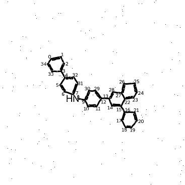 c1ccc(-c2ccc(Nc3ccc(-c4cc(-c5ccccc5)c5ccccc5c4)cc3)cc2)cc1